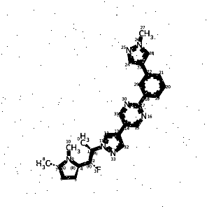 C[C@H]([C@H](F)[C@H]1CC[C@H](C)N1C)n1cc(-c2cnc(-c3cccc(-c4cnn(C)c4)c3)nc2)cn1